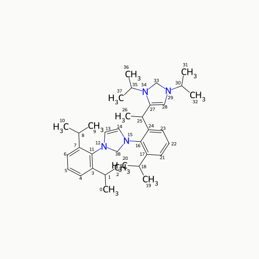 CC(C)c1cccc(C(C)C)c1N1C=CN(c2c(C(C)C)cccc2C(C)C2=CN(C(C)C)CN2C(C)C)C1